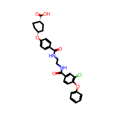 O=C(NCCNC(=O)c1ccc(Oc2ccccc2)c(Cl)c1)c1ccc(O[C@H]2CC[C@@H](C(=O)O)CC2)cc1